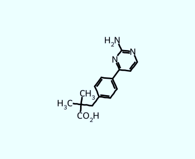 CC(C)(Cc1ccc(-c2ccnc(N)n2)cc1)C(=O)O